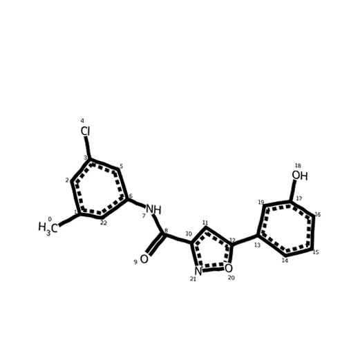 Cc1cc(Cl)cc(NC(=O)c2cc(-c3cccc(O)c3)on2)c1